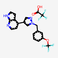 FC(F)(F)Oc1cccc(Cn2cc(-c3ccnc4[nH]ccc34)cn2)c1.O=C(O)C(F)(F)F